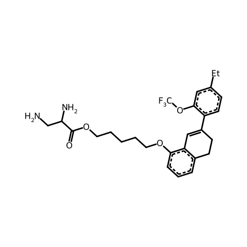 CCc1ccc(C2=Cc3c(cccc3OCCCCCOC(=O)C(N)CN)CC2)c(OC(F)(F)F)c1